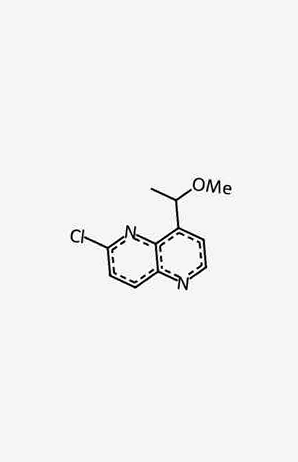 COC(C)c1ccnc2ccc(Cl)nc12